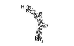 COC(=O)c1ccc(COc2ccc(Cc3ccc(OCc4ccc(C(=O)OC)cc4)c(C=O)c3)cc2C=O)cc1